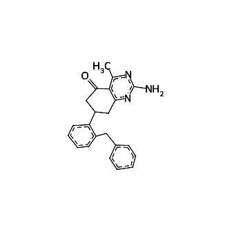 Cc1nc(N)nc2c1C(=O)CC(c1ccccc1Cc1ccccc1)C2